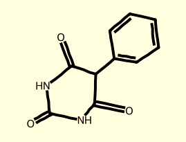 O=C1NC(=O)C(c2ccccc2)C(=O)N1